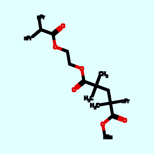 CCCCOC(=O)C(C)(CCC)CC(C)(C)C(=O)OCCOC(=O)C(CCC)CCC